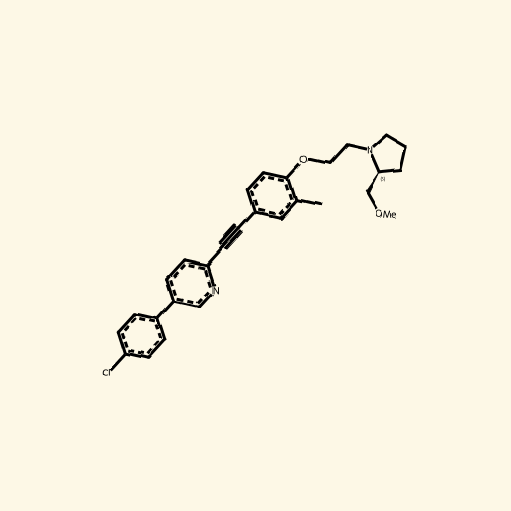 COC[C@@H]1CCCN1CCOc1ccc(C#Cc2ccc(-c3ccc(Cl)cc3)cn2)cc1C